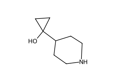 OC1(C2CCNCC2)CC1